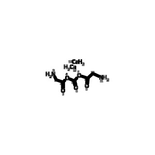 NCC(=O)OC(=O)OC(=O)CN.[CaH2].[CaH2]